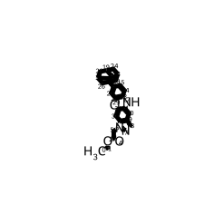 CCOC(=O)Cn1ncc2cc(Nc3ccc(C45CC6CC(CC(C6)C4)C5)cc3Cl)ccc21